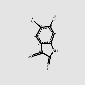 O=C1Nc2cc(Cl)c(Cl)cc2C1=O